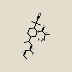 C/C=C\C(F)=C/C(C)C1CCC(C(C)(C)C#N)N(C(=O)[C@@H](C)N)C1